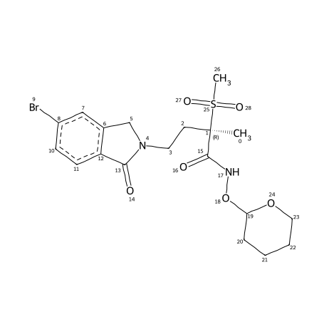 C[C@@](CCN1Cc2cc(Br)ccc2C1=O)(C(=O)NOC1CCCCO1)S(C)(=O)=O